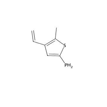 C=Cc1cc(P)sc1C